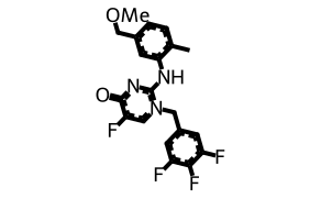 COCc1ccc(C)c(Nc2nc(=O)c(F)cn2Cc2cc(F)c(F)c(F)c2)c1